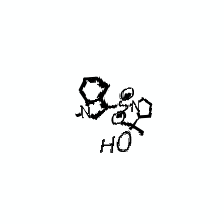 Cn1cc(S(=O)(=O)N2CCC[C@H]2C(C)(C)O)c2ccccc21